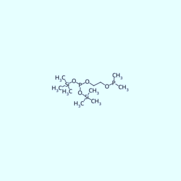 CP(C)OCCOP(O[Si](C)(C)C)O[Si](C)(C)C